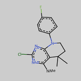 CNc1nc(Cl)nc2c1C(C)(C)CCN2c1ccc(F)cc1